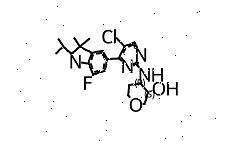 CC(C)C1=Nc2c(F)cc(-c3nc(N[C@@H]4CCOC[C@H]4O)ncc3Cl)cc2C1(C)C